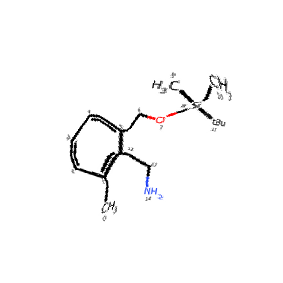 Cc1cccc(CO[Si](C)(C)C(C)(C)C)c1CN